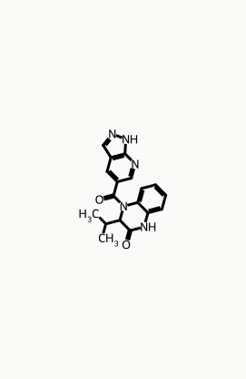 CC(C)C1C(=O)Nc2ccccc2N1C(=O)c1cnc2[nH]ncc2c1